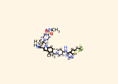 CNS(=O)(=O)N1CCN([C@@](C)([SiH3])Cn2c(C#N)cc3c(C)c(CN4CCC(Nc5ncnc6sc(CC(F)(F)F)cc56)CC4)ccc32)CC1